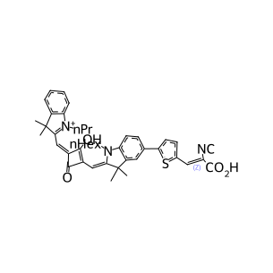 [C-]#[N+]/C(=C\c1ccc(-c2ccc3c(c2)C(C)(C)C(=CC2=C(O)C(=CC4=[N+](CCC)c5ccccc5C4(C)C)C2=O)N3CCCCCC)s1)C(=O)O